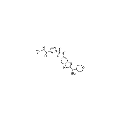 CN(c1ccc2[nH]c(C(C3CCOCC3)C(C)(C)C)nc2c1)S(=O)(=O)n1cc(C(=O)NC2CC2)cn1